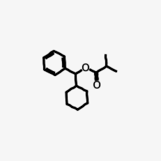 CC(C)C(=O)OC(c1ccccc1)C1CCCCC1